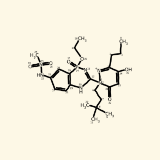 CCCC1=N[N+](CCC(C)(C)C)(C2=NP(=O)(OCC)c3cc(NS(C)(=O)=O)ccc3N2)C(=O)C=C1O